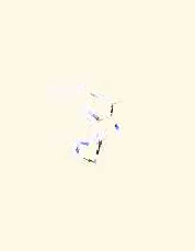 CC1=C(C#N)C(n2cc(Br)cn2)=NC(N)N1S